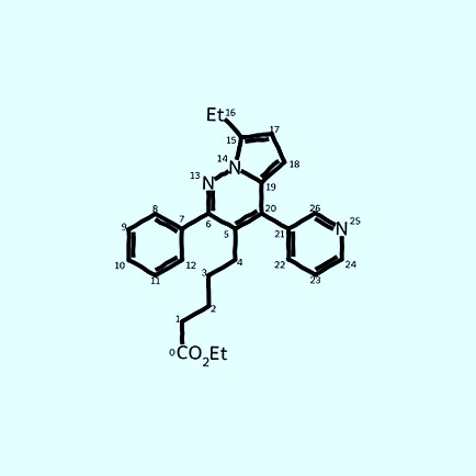 CCOC(=O)CCCCc1c(-c2ccccc2)nn2c(CC)ccc2c1-c1cccnc1